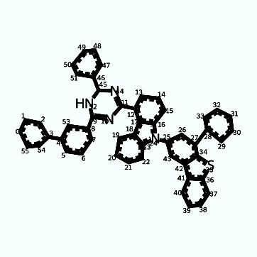 c1ccc(-c2cccc(C3=NC(c4cccc5c4c4ccccc4n5-c4cc(-c5ccccc5)c5sc6ccccc6c5c4)=NC(c4ccccc4)N3)c2)cc1